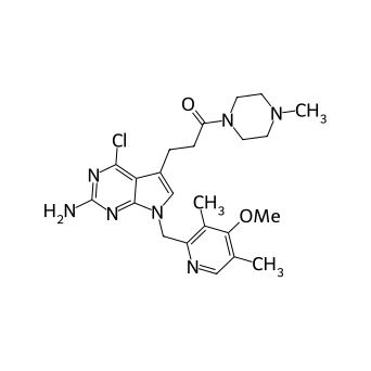 COc1c(C)cnc(Cn2cc(CCC(=O)N3CCN(C)CC3)c3c(Cl)nc(N)nc32)c1C